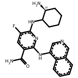 NC(=O)c1cc(F)c(NC2CCCC[C@@H]2N)nc1Nc1cncc2ccccc12